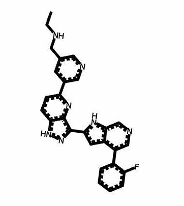 CCNCc1cncc(-c2ccc3[nH]nc(-c4cc5c(-c6ccccc6F)cncc5[nH]4)c3n2)c1